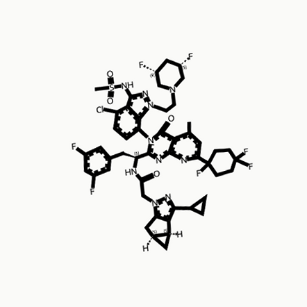 Cc1cc(C2(F)CCC(F)(F)CC2)nc2nc([C@H](Cc3cc(F)cc(F)c3)NC(=O)Cn3nc(C4CC4)c4c3C[C@@H]3C[C@H]43)n(-c3ccc(Cl)c4c(NS(C)(=O)=O)nn(CCN5C[C@H](F)C[C@H](F)C5)c34)c(=O)c12